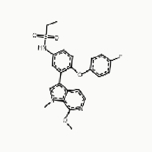 CCS(=O)(=O)Nc1ccc(Oc2ccc(F)cc2)c(-c2cn(C)c3c(OC)nccc23)c1